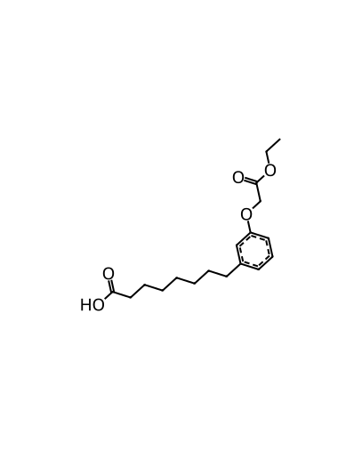 CCOC(=O)COc1cccc(CCCCCCCC(=O)O)c1